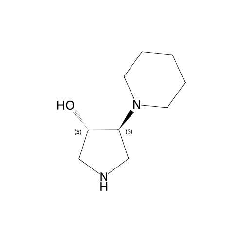 O[C@H]1CNC[C@@H]1N1CCCCC1